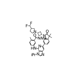 CNC(=O)c1cc(Nc2nc(-c3ccc4c(c3)N([C@H]3C[C@@H](N5CCC(C(F)F)C5)C3)C(=O)C4(C)C)cc3ncn(C(C)C)c23)ccc1C